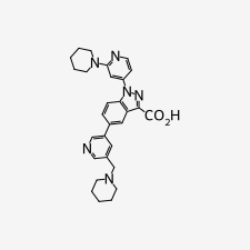 O=C(O)c1nn(-c2ccnc(N3CCCCC3)c2)c2ccc(-c3cncc(CN4CCCCC4)c3)cc12